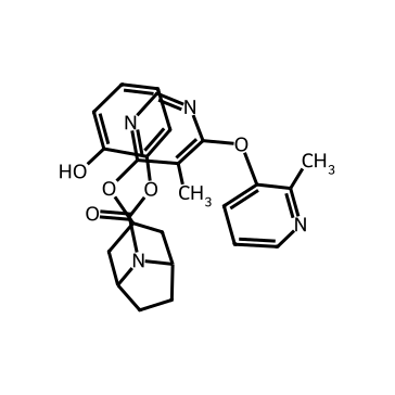 Cc1ncccc1Oc1ncnc(OC2CC3CCC(C2)N3C(=O)Oc2ccccc2O)c1C